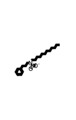 CCCCCCCCCCCCN(CCCc1ccccc1)[N+](=O)[O-]